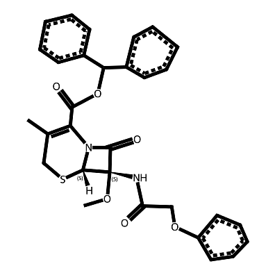 CO[C@@]1(NC(=O)COc2ccccc2)C(=O)N2C(C(=O)OC(c3ccccc3)c3ccccc3)=C(C)CS[C@H]21